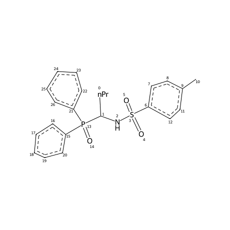 CCCC(NS(=O)(=O)c1ccc(C)cc1)P(=O)(c1ccccc1)c1ccccc1